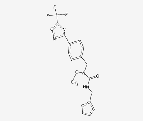 CON(Cc1ccc(-c2noc(C(F)(F)F)n2)cc1)C(=O)NCc1ccco1